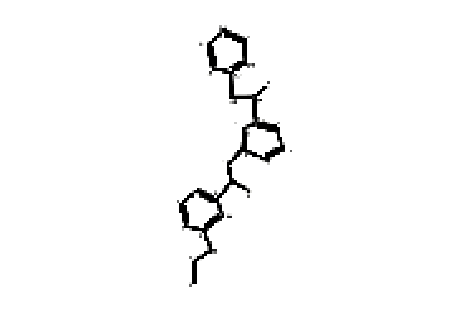 CCCc1cccc(C(C)Cc2cccc(C(C)Cc3ccccc3)c2)c1